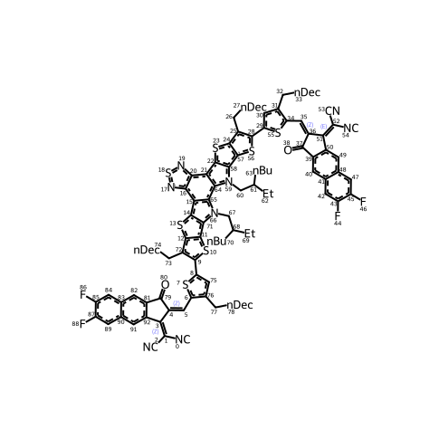 [C-]#[N+]/C(C#N)=C1\C(=C\c2sc(-c3sc4c(sc5c6c7nsnc7c7c8sc9c(CCCCCCCCCCC)c(-c%10cc(CCCCCCCCCCC)c(/C=C%11\C(=O)c%12cc%13cc(F)c(F)cc%13cc%12\C%11=C(\C#N)[N+]#[C-])s%10)sc9c8n(CC(CC)CCCC)c7c6n(CC(CC)CCCC)c45)c3CCCCCCCCCCC)cc2CCCCCCCCCCC)C(=O)c2cc3cc(F)c(F)cc3cc21